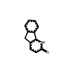 O=c1ccc2c([nH]1)-c1ccccc1C2